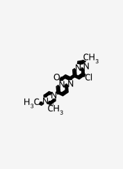 CCN1CCN(c2ccc3nc(-c4cc(Cl)c5nc(C)cn5c4)cc(=O)n3c2)C[C@@H]1C